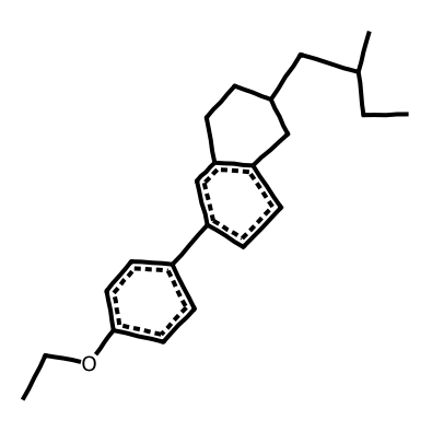 CCOc1ccc(-c2ccc3c(c2)CCC(CC(C)CC)C3)cc1